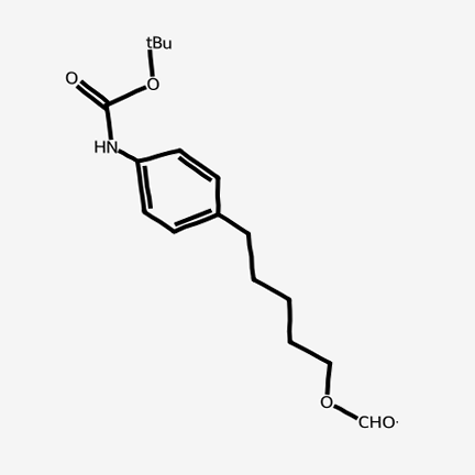 CC(C)(C)OC(=O)Nc1ccc(CCCCCO[C]=O)cc1